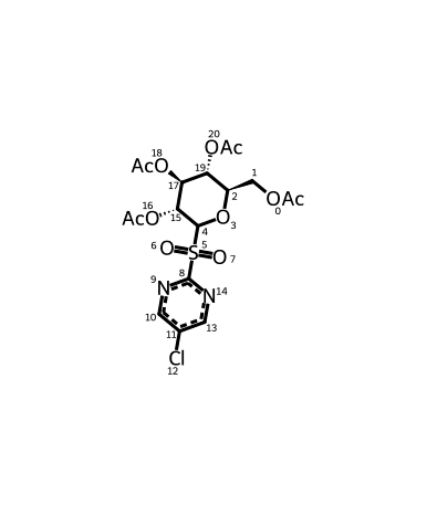 CC(=O)OC[C@H]1OC(S(=O)(=O)c2ncc(Cl)cn2)[C@H](OC(C)=O)[C@@H](OC(C)=O)[C@@H]1OC(C)=O